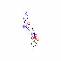 Cc1ccc(S(=O)(=O)ONCC(C)CC(C)(C)NC(=O)CN2CCN(C)CC2)cc1